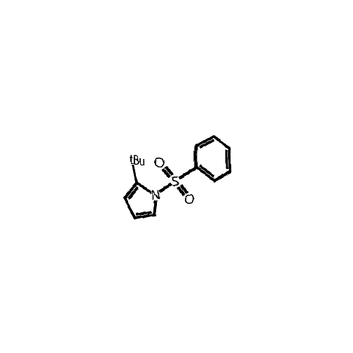 CC(C)(C)c1cccn1S(=O)(=O)c1ccccc1